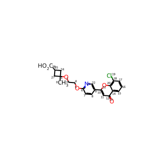 CC1(OCCOc2ccc(-c3cc(=O)c4cccc(Cl)c4o3)cn2)CC(C(=O)O)C1